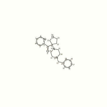 O=C(c1ccccn1)C1(N2CCN(Cc3ccccc3)CC2)CCOC1